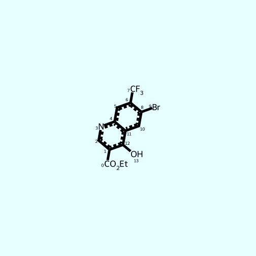 CCOC(=O)c1cnc2cc(C(F)(F)F)c(Br)cc2c1O